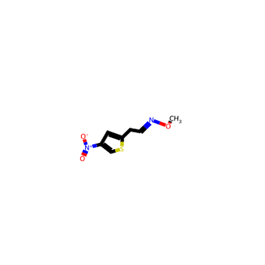 CON=CCc1cc([N+](=O)[O-])cs1